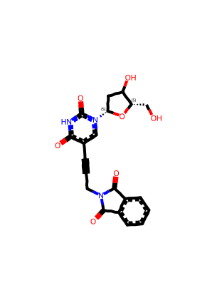 O=C1c2ccccc2C(=O)N1CC#Cc1cn([C@@H]2CC(O)[C@H](CO)O2)c(=O)[nH]c1=O